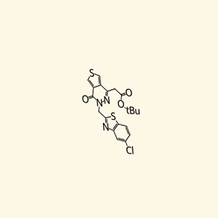 CC(C)(C)OC(=O)Cc1nn(Cc2nc3cc(Cl)ccc3s2)c(=O)c2cscc12